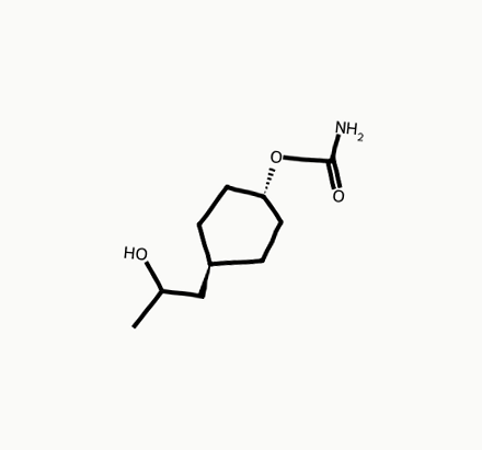 CC(O)C[C@H]1CC[C@H](OC(N)=O)CC1